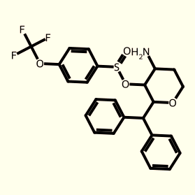 NC1CCOC(C(c2ccccc2)c2ccccc2)C1OS(=O)c1ccc(OC(F)(F)F)cc1